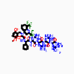 COc1ccc(O)c(CN(c2cc(C(F)(F)F)nc3c(C(F)(F)F)cccc23)C(O)C(=O)NC(C(=O)NC(NC(=N)N)C(=O)NC(NC(=N)N)C(=O)NC(NC(=N)N)C(=O)NC(NC(=N)N)C(N)=O)c2ccccc2)c1